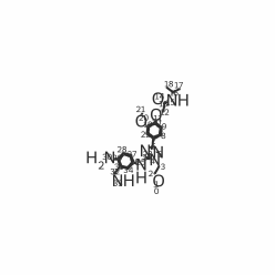 COCCn1nc(-c2ccc(OCC(=O)NC(C)C)c(OC)c2)nc1Nc1ccc(N)c(C=N)c1